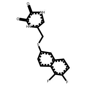 O=c1[nH]cc(CSc2ccc3c(F)c(F)ccc3c2)[nH]c1=O